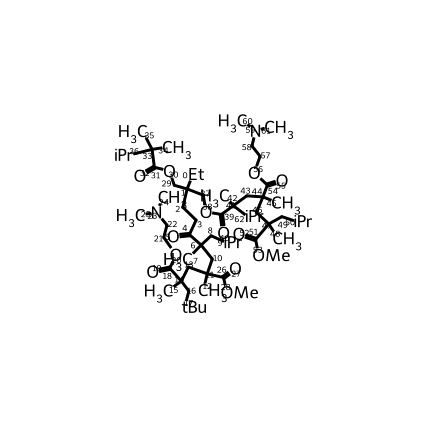 CCC(CCC(=O)C(C)(CC(C)C)CC(C)(CC(C)(CC(C)(C)C)C(=O)OCCN(C)C)C(=O)OC)(COC(=O)C(C)(C)C(C)C)COC(=O)C(C)(CC(C)(CC(C)(CC(C)C)C(=O)OC)C(=O)OCCN(C)C)C(C)C